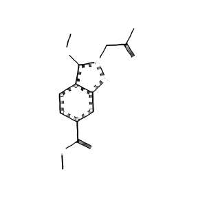 COC(=O)c1ccc2c(OC)n(CC(C)=O)nc2c1